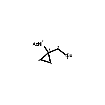 CC(=O)NC1(CC(C)(C)C)CC1